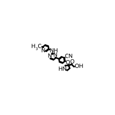 Cc1ccc(Nc2nccc(-c3ccc(O[C@]4(C(=O)CO)CCNC4)c(C#N)c3)n2)cn1